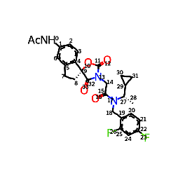 CC(=O)Nc1ccc2c(c1)CC[C@@]21OC(=O)N(CC(=O)N(Cc2ccc(F)cc2F)[C@@H](C)C2CC2)C1=O